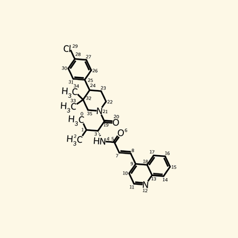 CC(C)[C@@H](NC(=O)/C=C/c1ccnc2ccccc12)C(=O)N1CCC(c2ccc(Cl)cc2)C(C)(C)C1